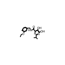 CCOc1cccc(CNC(=O)c2nc(C(C)C)nc(O)c2O)c1